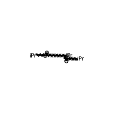 CC(C)CCCCCOC(=O)CCCCCCCCCCC(CC(=O)OCCCCCC(C)C)C(C)C